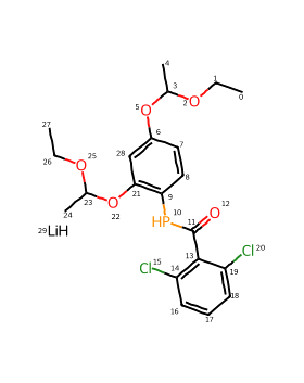 CCOC(C)Oc1ccc(PC(=O)c2c(Cl)cccc2Cl)c(OC(C)OCC)c1.[LiH]